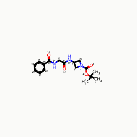 CC(C)(C)OC(=O)N1CC(NC(=O)CNC(=O)c2ccccc2)C1